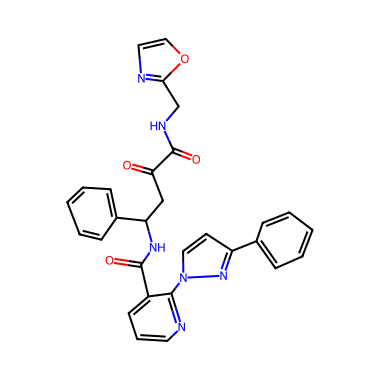 O=C(CC(NC(=O)c1cccnc1-n1ccc(-c2ccccc2)n1)c1ccccc1)C(=O)NCc1ncco1